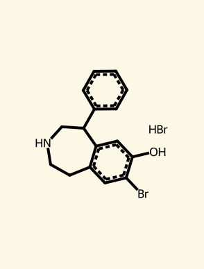 Br.Oc1cc2c(cc1Br)CCNCC2c1ccccc1